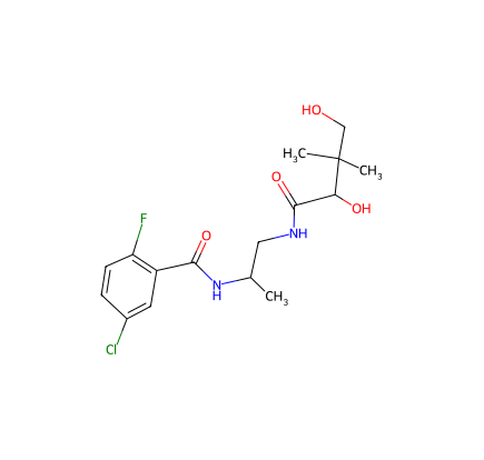 CC(CNC(=O)C(O)C(C)(C)CO)NC(=O)c1cc(Cl)ccc1F